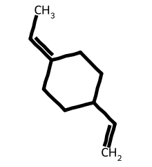 C=CC1CCC(=CC)CC1